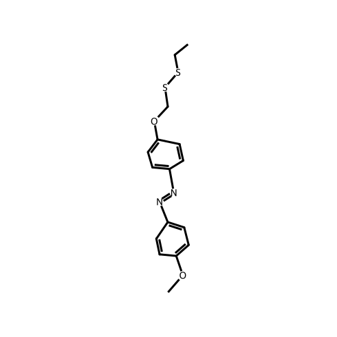 CCSSCOc1ccc(/N=N/c2ccc(OC)cc2)cc1